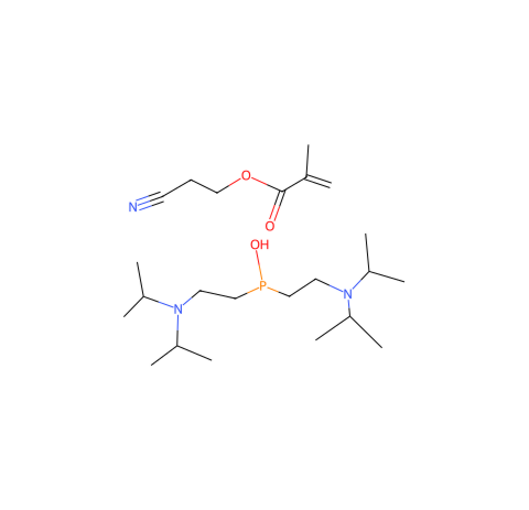 C=C(C)C(=O)OCCC#N.CC(C)N(CCP(O)CCN(C(C)C)C(C)C)C(C)C